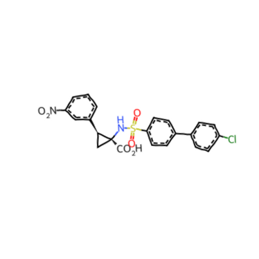 O=C(O)[C@@]1(NS(=O)(=O)c2ccc(-c3ccc(Cl)cc3)cc2)C[C@H]1c1cccc([N+](=O)[O-])c1